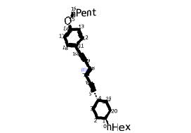 CCCCCC[C@H]1CC[C@H](C#C/C=C/C#Cc2ccc(OCCCCC)cc2)CC1